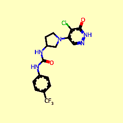 O=C(Nc1ccc(C(F)(F)F)cc1)NC1CCN(c2cn[nH]c(=O)c2Cl)C1